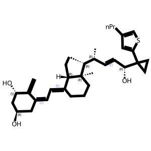 C=C1/C(=C\C=C2/CCC[C@]3(C)[C@@H]([C@H](C)/C=C/[C@@H](O)C4(c5cc(CCC)cs5)CC4)CC[C@@H]23)C[C@@H](O)C[C@@H]1O